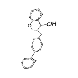 OC1c2ccccc2OCC1Cc1ccc(-c2ccccc2)cc1